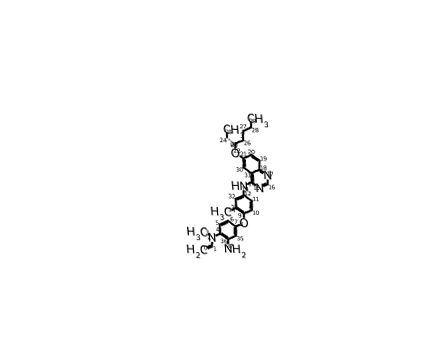 C=CN(C)c1ccc(Oc2ccc(Nc3ncnc4ccc(O[C@H](CC)CCCC)cc34)cc2C)cc1N